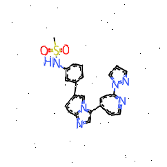 CS(=O)(=O)Nc1cccc(-c2ccc3ncc(-c4ccnc(-n5cccn5)c4)n3c2)c1